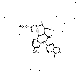 CC1=C(C(=O)Nc2ccc3[nH]ncc3c2)C(c2ccc(C)cc2)n2nc(C(=O)O)cc2N1